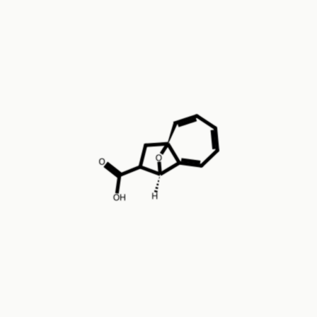 O=C(O)C1C[C@]23C=CC=CC=C2[C@@H]1O3